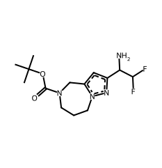 CC(C)(C)OC(=O)N1CCCn2nc(C(N)C(F)F)cc2C1